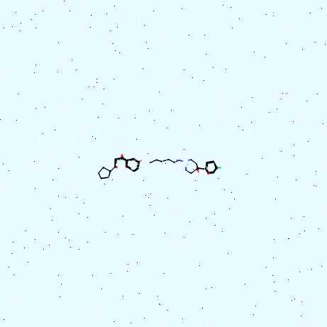 O=c1cc(C2CCCC2)oc2ccc(OCCCCCCN3CCC(O)(c4ccc(Cl)cc4)CC3)cc12